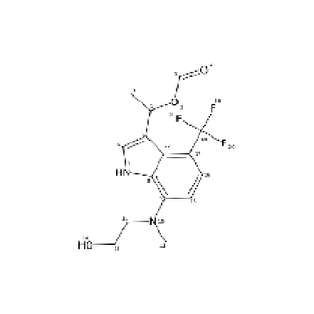 CC(OC=O)c1c[nH]c2c(N(C)CCO)ccc(C(F)(F)F)c12